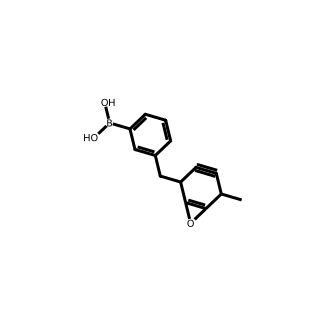 CC1C#CC(Cc2cccc(B(O)O)c2)C2=C1O2